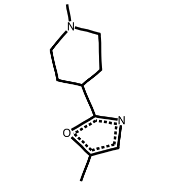 Cc1cnc(C2CCN(C)CC2)o1